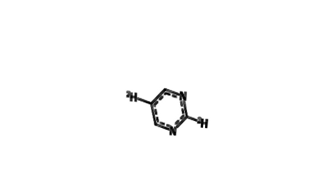 [2H]c1cnc([2H])nc1